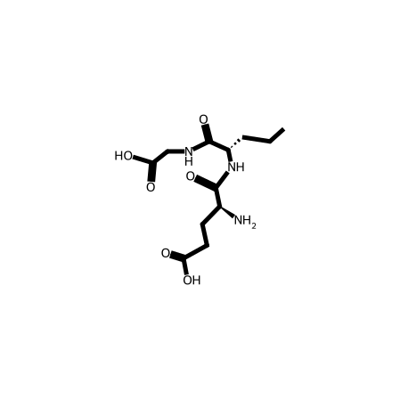 CCC[C@H](NC(=O)[C@@H](N)CCC(=O)O)C(=O)NCC(=O)O